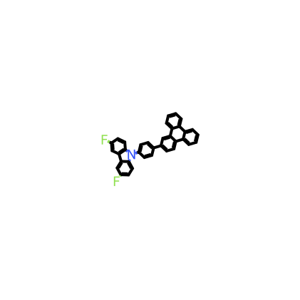 Fc1ccc2c(c1)c1cc(F)ccc1n2-c1ccc(-c2ccc3c4ccccc4c4ccccc4c3c2)cc1